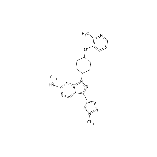 CNc1cc2c(cn1)c(-c1cnn(C)c1)nn2C1CCC(Oc2cccnc2C)CC1